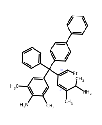 CC/C=C(\C=C(\C)C(C)N)C(c1ccccc1)(c1ccc(-c2ccccc2)cc1)c1cc(C)c(N)c(C)c1